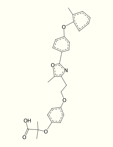 Cc1ccccc1Oc1ccc(-c2nc(CCOc3ccc(OC(C)(C)C(=O)O)cc3)c(C)o2)cc1